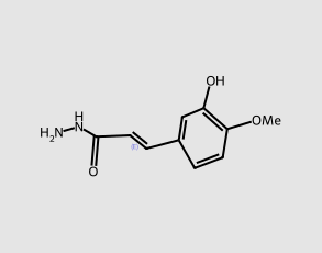 COc1ccc(/C=C/C(=O)NN)cc1O